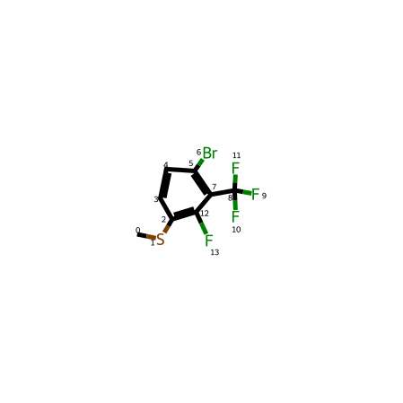 CSc1ccc(Br)c(C(F)(F)F)c1F